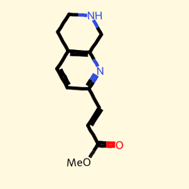 COC(=O)/C=C/c1ccc2c(n1)CNCC2